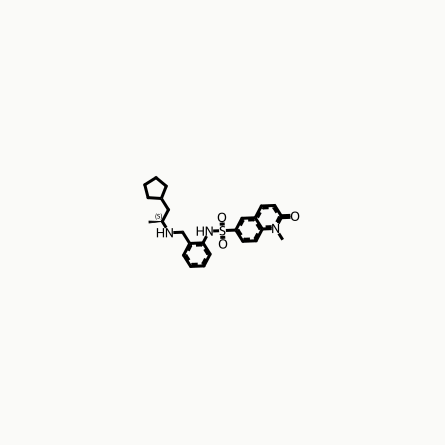 C[C@@H](CC1CCCC1)NCc1ccccc1NS(=O)(=O)c1ccc2c(ccc(=O)n2C)c1